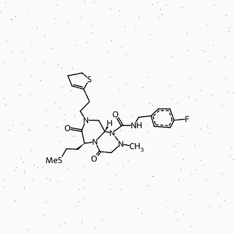 CSCC[C@H]1C(=O)N(CCC2=CCCS2)C[C@H]2N1C(=O)CN(C)N2C(=O)NCc1ccc(F)cc1